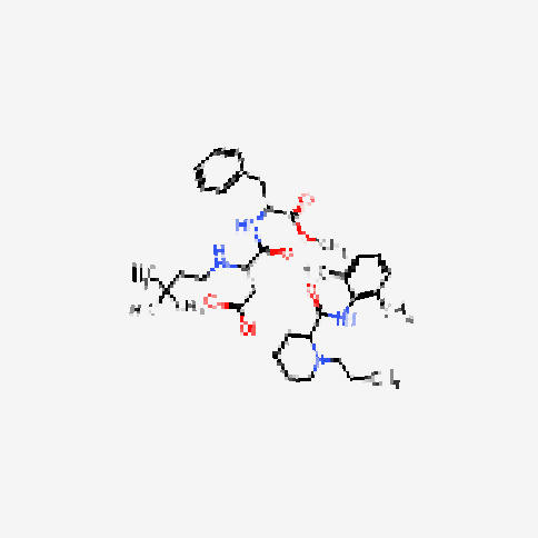 CCCN1CCCC[C@H]1C(=O)Nc1c(C)cccc1C.COC(=O)[C@H](Cc1ccccc1)NC(=O)[C@H](CC(=O)O)NCCC(C)(C)C